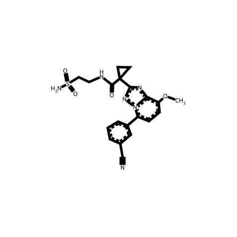 COc1ccc(-c2cccc(C#N)c2)n2nc(C3(C(=O)NCCS(N)(=O)=O)CC3)nc12